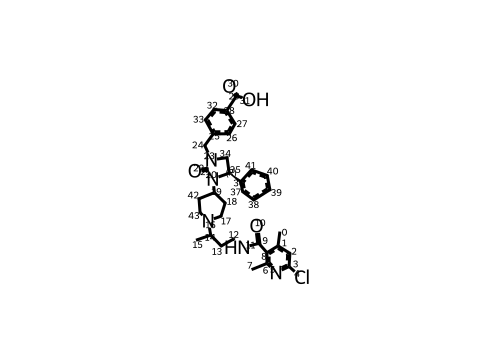 Cc1cc(Cl)nc(C)c1C(=O)NCCC(C)N1CCC(N2C(=O)N(Cc3ccc(C(=O)O)cc3)C[C@H]2c2ccccc2)CC1